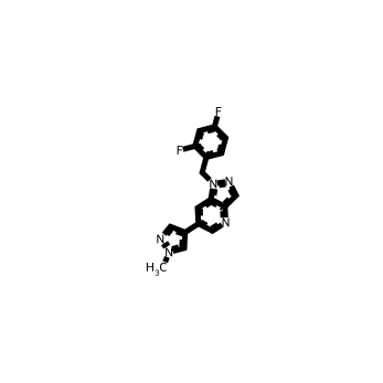 Cn1cc(-c2cnc3cnn(Cc4ccc(F)cc4F)c3c2)cn1